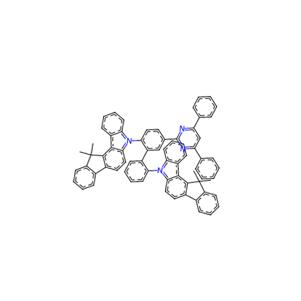 CC1(C)c2ccccc2-c2ccc3c(c21)c1ccccc1n3-c1ccccc1-c1cc(-c2nc(-c3ccccc3)cc(-c3ccccc3)n2)ccc1-n1c2ccccc2c2c3c(ccc21)-c1ccccc1C3(C)C